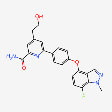 Cn1ncc2c(Oc3ccc(-c4cc(CCO)cc(C(N)=O)n4)cc3)ccc(F)c21